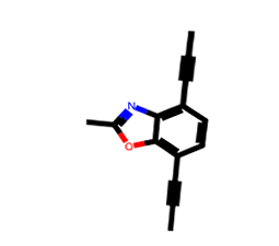 CC#Cc1ccc(C#CC)c2oc(C)nc12